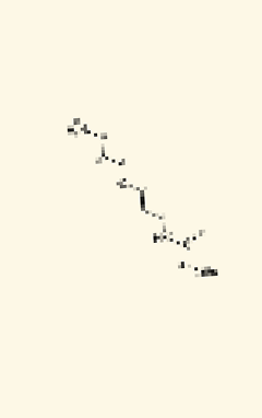 CC(C)(C)OC(=O)NCCCOCCCN